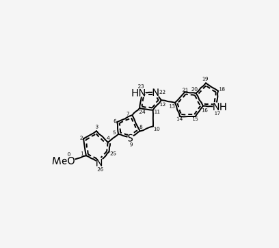 COc1ccc(-c2cc3c(s2)Cc2c(-c4ccc5[nH]ccc5c4)n[nH]c2-3)cn1